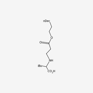 CCCCCCCCCCCCOC(=O)CCNC(C(=O)O)C(C)CC